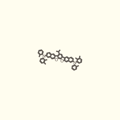 Cc1ccccc1N(c1ccc2cc3c(cc2c1)oc1c3cc(C(C)C)c2c3cc4ccc(N(c5ccccc5C)c5cccc(C)c5C)cc4cc3oc12)c1cccc(C)c1C